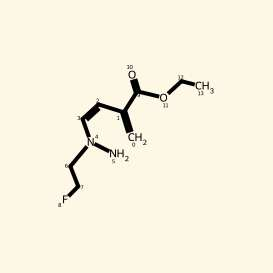 C=C(/C=C\N(N)CCF)C(=O)OCC